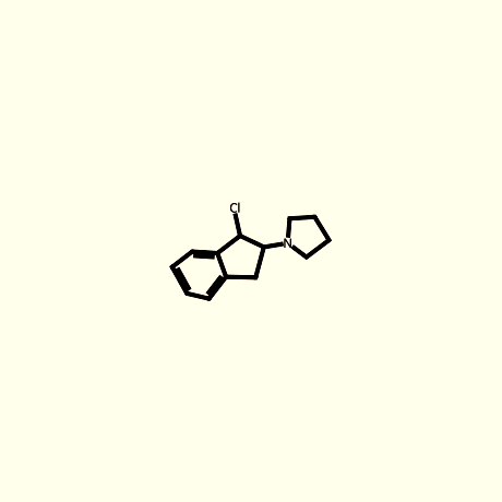 ClC1c2ccccc2CC1N1CCCC1